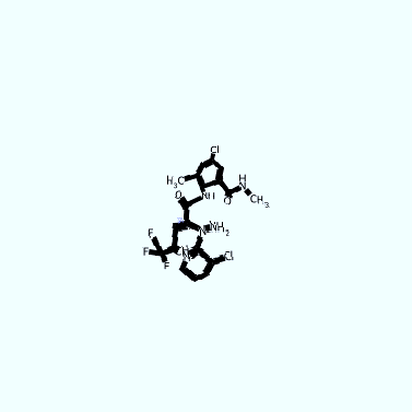 C=C(/C=C(/C(=O)Nc1c(C)cc(Cl)cc1C(=O)NC)N(N)c1ncccc1Cl)C(F)(F)F